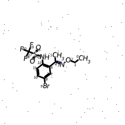 CCO/N=C(\C)c1cc(Br)ccc1NS(=O)(=O)C(F)(F)F